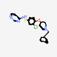 Clc1cc(SNc2ccncn2)ccc1OC1CCN(Cc2ccccc2)CC1